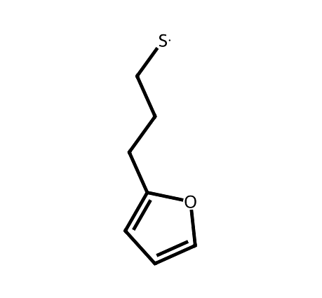 [S]CCCc1ccco1